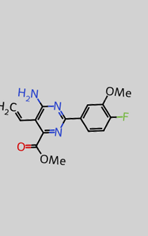 C=Cc1c(N)nc(-c2ccc(F)c(OC)c2)nc1C(=O)OC